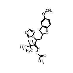 COc1ccc2c(c1)CC(CC(C(=NOC(C)=O)C(C)(C)C)n1cncn1)O2